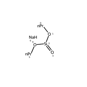 CCCO[Si](=O)OCCC.[NaH]